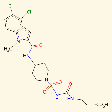 Cn1c(C(=O)NC2CCN(S(=O)(=O)NC(=O)NCCC(=O)O)CC2)cc2c(Cl)c(Cl)ccc21